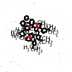 CC(C)(C)c1ccc([C@H]2c3cc4c(cc3B3c5cc(N6c7ccc([Si](c8ccccc8)(c8ccccc8)c8ccccc8)cc7C7(C)CC(C)(C)C(C)(C)CC67C)ccc5N(c5ccc(C(C)(C)C)cc5-c5ccccc5)c5cc(C(C)(C)C)cc2c53)C(C)(C)CCC4(C)C)c(-c2ccccc2)c1